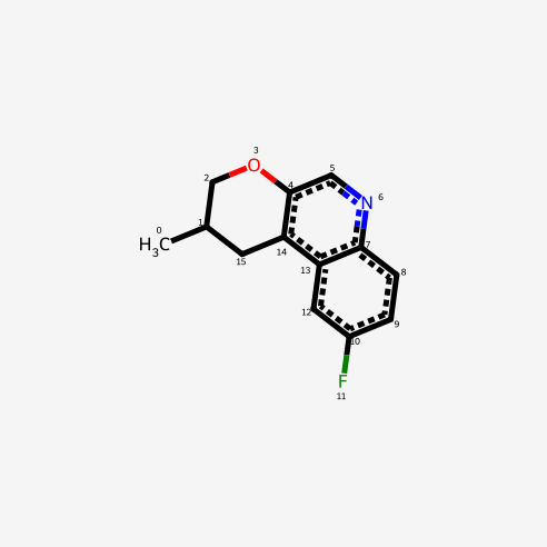 CC1COc2cnc3ccc(F)cc3c2C1